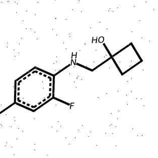 Cc1ccc(NCC2(O)CCC2)c(F)c1